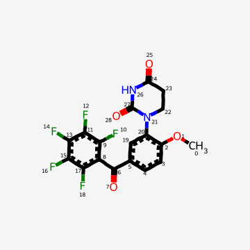 COc1ccc(C(=O)c2c(F)c(F)c(F)c(F)c2F)cc1N1CCC(=O)NC1=O